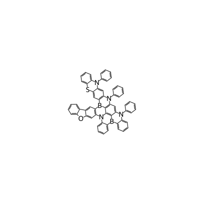 c1ccc(N2c3ccccc3Sc3cc4c(cc32)N(c2ccccc2)c2cc3c5c6c2B4c2cc4c(cc2N6c2ccccc2B5c2ccccc2N3c2ccccc2)oc2ccccc24)cc1